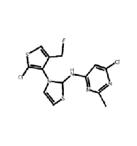 Cc1nc(Cl)cc(NC2SC=CN2c2c(CF)csc2Cl)n1